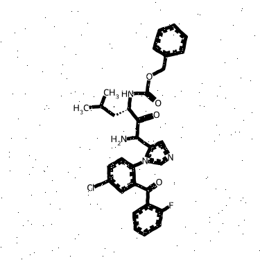 CC(C)C[C@H](NC(=O)OCc1ccccc1)C(=O)C(N)c1cncn1-c1ccc(Cl)cc1C(=O)c1ccccc1F